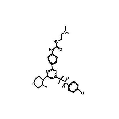 C[C@H]1COCCN1c1cc(C(C)(C)S(=O)(=O)c2ccc(Cl)cc2)nc(-c2ccc(NC(=O)NCCN(C)C)cc2)n1